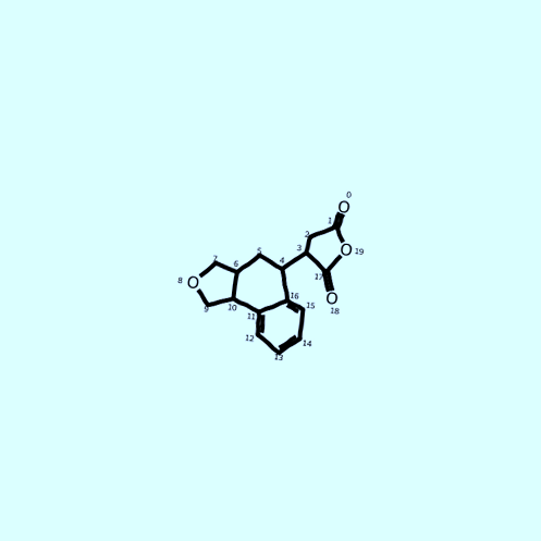 O=C1CC(C2CC3COCC3c3ccccc32)C(=O)O1